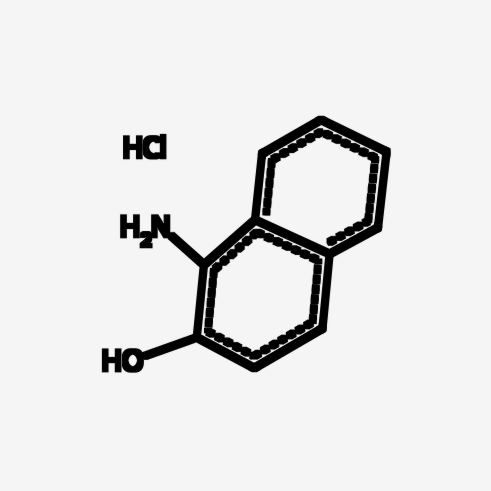 Cl.Nc1c(O)ccc2ccccc12